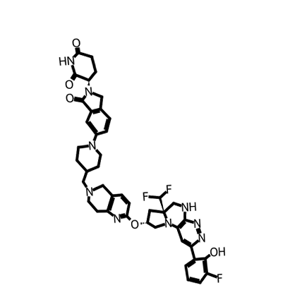 O=C1CC[C@H](N2Cc3ccc(N4CCC(CN5CCc6nc(O[C@H]7CN8c9cc(-c%10cccc(F)c%10O)nnc9NC[C@@]8(C(F)F)C7)ccc6C5)CC4)cc3C2=O)C(=O)N1